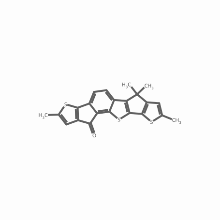 Cc1cc2c(s1)-c1ccc3c4c(sc3c1C2=O)-c1sc(C)cc1C4(C)C